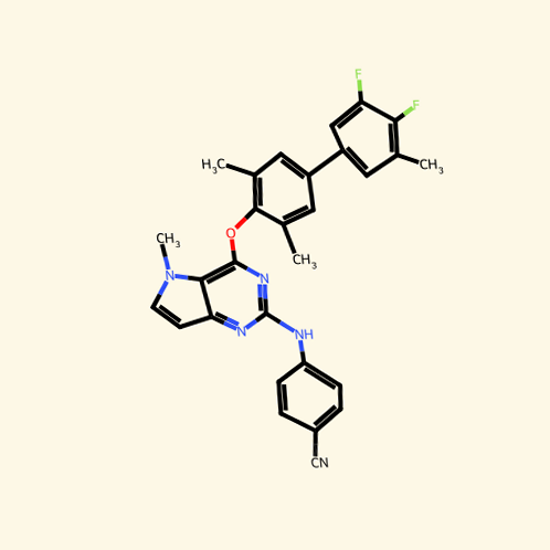 Cc1cc(-c2cc(C)c(Oc3nc(Nc4ccc(C#N)cc4)nc4ccn(C)c34)c(C)c2)cc(F)c1F